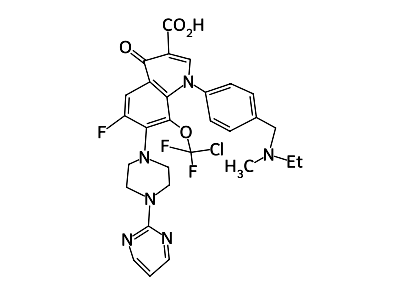 CCN(C)Cc1ccc(-n2cc(C(=O)O)c(=O)c3cc(F)c(N4CCN(c5ncccn5)CC4)c(OC(F)(F)Cl)c32)cc1